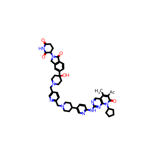 CC(=O)c1c(C)c2cnc(Nc3ccc(C4CCN(Cc5ccc(CN6CCC(O)(c7ccc8c(c7)CN(C7CCC(=O)NC7=O)C8=O)CC6)cn5)CC4)cn3)nc2n(C2CCCC2)c1=O